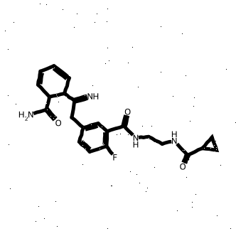 N=C(Cc1ccc(F)c(C(=O)NCCNC(=O)C2CC2)c1)C1C=CC=CC1C(N)=O